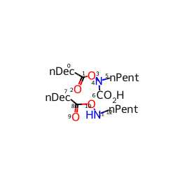 CCCCCCCCCCC(=O)ON(CCCCC)C(=O)O.CCCCCCCCCCC(=O)ONCCCCC